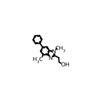 Cc1cc(-c2ccccc2)cc2c1nc(CCO)n2C